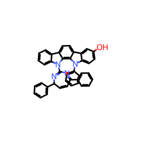 Oc1ccc2c(c1)c1ccc3c4ccccc4n(C4=NC(c5ccccc5)C=CC(c5ccccc5)=N4)c3c1n2-c1ccccc1